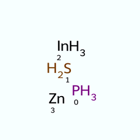 P.S.[InH3].[Zn]